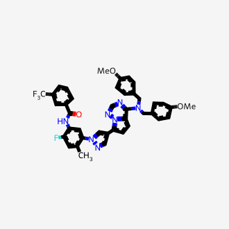 COc1ccc(CN(Cc2ccc(OC)cc2)c2ncnn3c(-c4cnn(-c5cc(NC(=O)c6cccc(C(F)(F)F)c6)c(F)cc5C)c4)ccc23)cc1